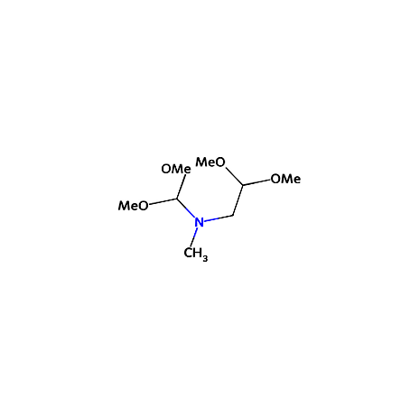 COC(CN(C)C(OC)OC)OC